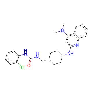 CN(C)c1cc(N[C@H]2CC[C@@H](CNC(=O)Nc3ccccc3Cl)CC2)nc2ccccc12